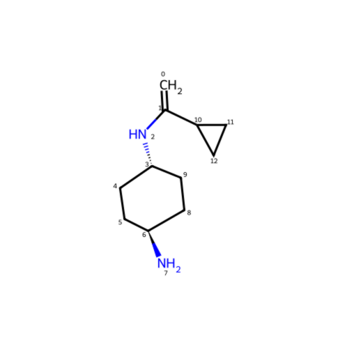 C=C(N[C@H]1CC[C@H](N)CC1)C1CC1